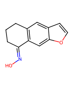 ON=C1CCCc2cc3ccoc3cc21